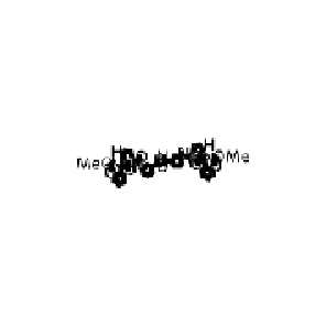 COC(=O)N[C@@H](C(=O)N1CCC[C@H]1C(=O)Nc1cccc(-c2cnc(-c3ccc4[nH]c([C@@H]5CCCN5C(=O)[C@H](NC(=O)OC)c5ccccc5)nc4c3)o2)c1)c1ccccc1